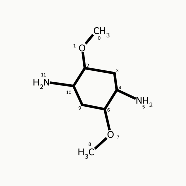 COC1CC(N)C(OC)CC1N